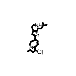 Cc1cc(Cl)c2n1CC=C(c1cc3c(s1)C(CC(C)C)NCC3)C=C2